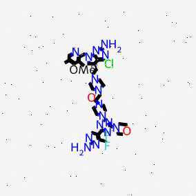 COc1c(C)cnc(CN2C[C@H](CCN3CCN(CC(=O)N4CCN(c5nc(-c6cnc(N)nc6C(F)F)nc(N6CCOCC6)n5)CC4)CC3)c3c(Cl)nc(N)nc32)c1C